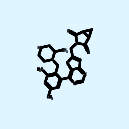 Cc1cc(C)c(CN2CCNCC2C)c(-c2ncnc3cc(CN4C(=O)C5CC5C4=O)sc23)c1